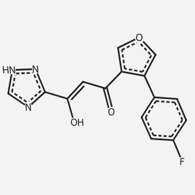 O=C(C=C(O)c1nc[nH]n1)c1cocc1-c1ccc(F)cc1